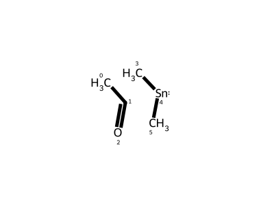 CC=O.[CH3][Sn][CH3]